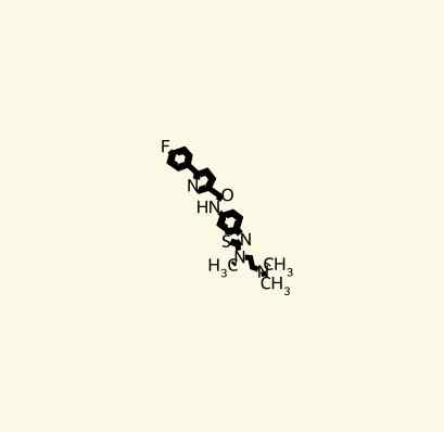 CN(C)CCN(C)c1nc2ccc(NC(=O)c3ccc(-c4ccc(F)cc4)nc3)cc2s1